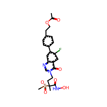 CC(=O)OCCc1ccc(-c2cc3ncn(CCC(C)(C(=O)NO)S(C)(=O)=O)c(=O)c3cc2F)cc1